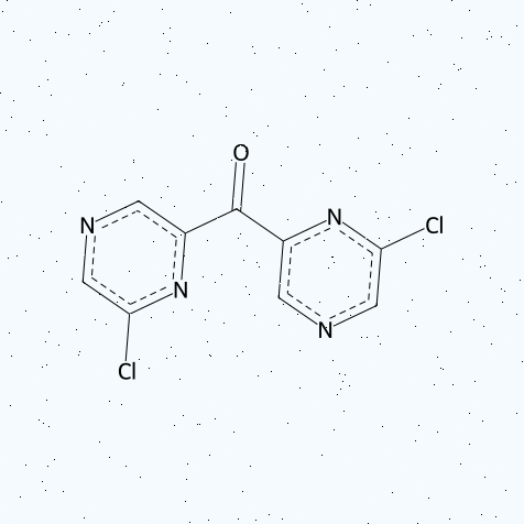 O=C(c1cncc(Cl)n1)c1cncc(Cl)n1